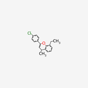 CCc1cccc2c1OC(c1ccc(Cl)cc1)=CC2C